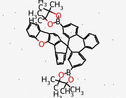 CC1(C)OB(c2ccc3c(c2)C2(c4cc(B5OC(C)(C)C(C)(C)O5)ccc4-c4ccccc4-3)c3ccccc3-c3c2ccc2c3oc3ccccc32)OC1(C)C